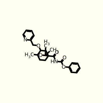 CC12CCC(C(=O)NC(=O)Oc3ccccc3)(CC1OCc1ccccn1)C(C)(C)O2